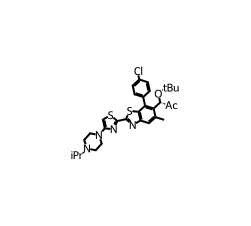 CC(=O)[C@@H](OC(C)(C)C)c1c(C)cc2nc(-c3nc(N4CCN(C(C)C)CC4)cs3)sc2c1-c1ccc(Cl)cc1